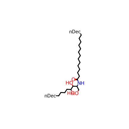 CCCCCCCCCCCCCCCCCCCCCCCC(=O)NC(CO)C(O)C(O)CCCCCCCCCCCCCC